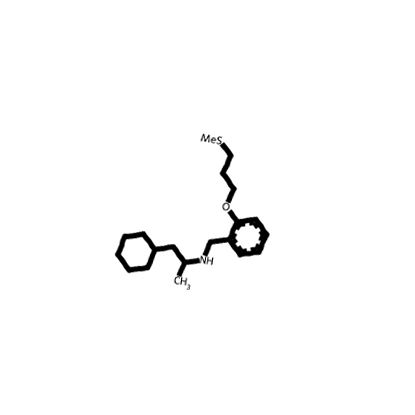 CSCCCOc1ccccc1CNC(C)CC1CCCCC1